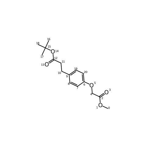 COC(=O)COc1ccc(CCC(=O)OC(C)(C)C)cc1